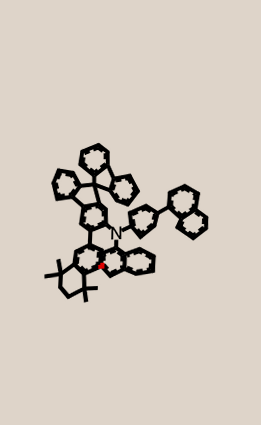 CC1(C)CCC(C)(C)c2cc(-c3cc4c(cc3N(c3ccc(-c5cccc6ccccc56)cc3)c3cccc5ccccc35)C3(c5ccccc5-c5ccccc53)c3ccccc3-4)ccc21